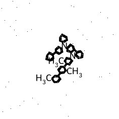 CC1C=C(C2=CC(C)C(C3C=CC(n4c5ccccc5c5ccc(N(c6ccccc6)c6ccc(-c7ccccc7)cc6)cc54)=CC3C)C=C2)C=CC1